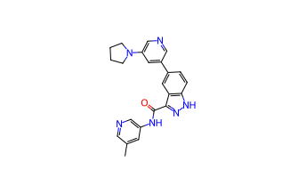 Cc1cncc(NC(=O)c2n[nH]c3ccc(-c4cncc(N5CCCC5)c4)cc23)c1